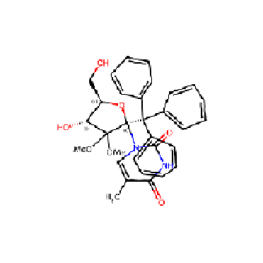 COC1(OC)[C@H](O)[C@@H](CO)O[C@]1(n1cc(C)c(=O)[nH]c1=O)C(c1ccccc1)(c1ccccc1)c1ccccc1